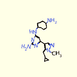 Cn1ncc(-c2cc(NC3CCC(N)CC3)nc(N)n2)c1CC1CC1